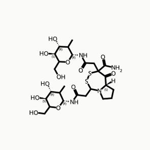 CC1[C@H](NC(=O)CC2SSC(CC(=O)N[C@@H]3OC(CO)[C@@H](O)[C@H](O)C3C)(C(N)=O)C(=O)[C@@H]3CCCN23)OC(CO)[C@@H](O)[C@@H]1O